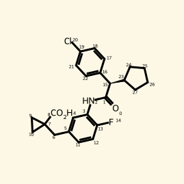 O=C(Nc1cc(CC2(C(=O)O)CC2)ccc1F)[C@@H](c1ccc(Cl)cc1)C1CCCC1